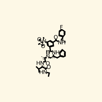 CCNC(=O)[C@@H](NC(=O)[C@H](C)NC[C@H](Cc1ccccc1)NC(=O)c1cc(C(=O)N[C@H](C)c2ccc(F)cc2)cc(N(C)S(C)(=O)=O)c1)C(C)C